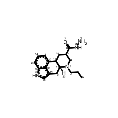 CCCN1CC(C(=O)NN)CC2c3cccc4[nH]cc(c34)C[C@H]21